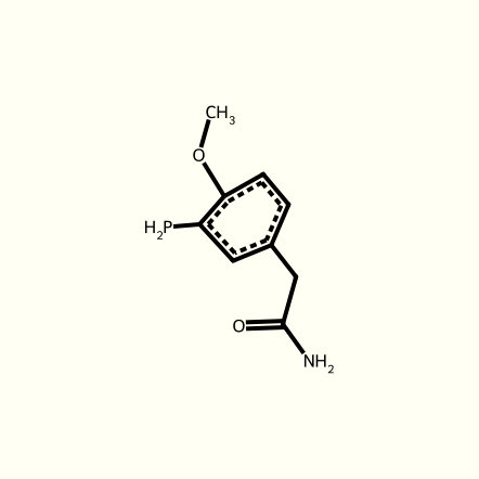 COc1ccc(CC(N)=O)cc1P